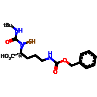 CC(C)(C)NC(=O)N(S)[C@H](CCCNC(=O)OCc1ccccc1)C(=O)O